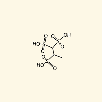 CC(C(S(=O)(=O)O)S(=O)(=O)O)S(=O)(=O)O